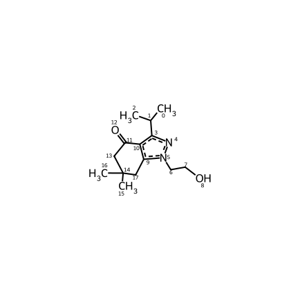 CC(C)c1nn(CCO)c2c1C(=O)CC(C)(C)C2